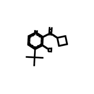 CC(C)(C)c1ccnc(NC2CCC2)c1Cl